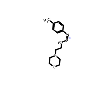 Cc1ccc(/N=N\NCCN2CCOCC2)cc1